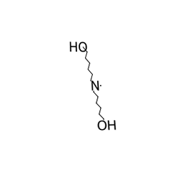 OCCCCCC[N]CCCCCCO